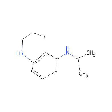 CC(C)Nc1cccc2c1CCCN2